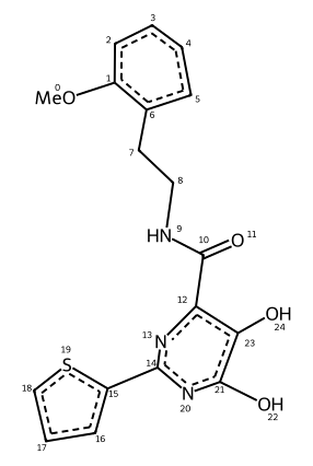 COc1ccccc1CCNC(=O)c1nc(-c2cccs2)nc(O)c1O